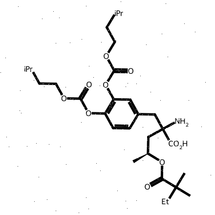 CCC(C)(C)C(=O)O[C@@H](C)CC(N)(Cc1ccc(OC(=O)OCCC(C)C)c(OC(=O)OCCC(C)C)c1)C(=O)O